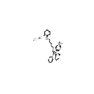 O=Cc1ccccc1OCCCCCC[P+](c1ccccc1)(c1ccccc1)c1ccccc1.[Br-]